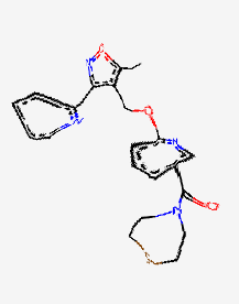 Cc1onc(-c2ccccn2)c1COc1ccc(C(=O)N2CCSCC2)cn1